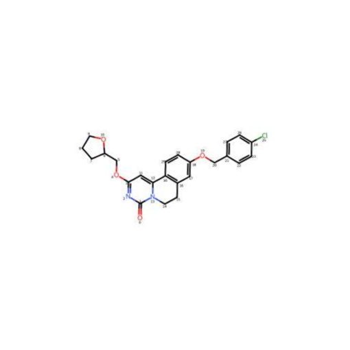 O=c1nc(OCC2CCCO2)cc2n1CCc1cc(OCc3ccc(Cl)cc3)ccc1-2